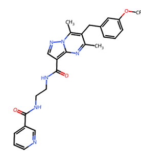 Cc1nc2c(C(=O)NCCNC(=O)c3cccnc3)cnn2c(C)c1Cc1cccc(OC(F)(F)F)c1